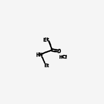 CCNC(=O)CC.Cl